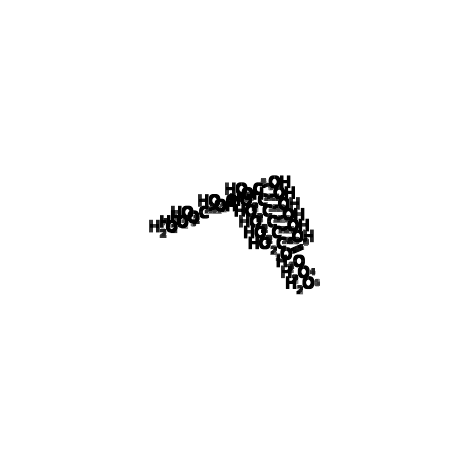 C=O.O.O.O.O.O.O.O=C(O)O.O=C(O)O.O=C(O)O.O=C(O)O.O=C(O)O.O=C(O)O.O=C(O)O.O=C(O)O